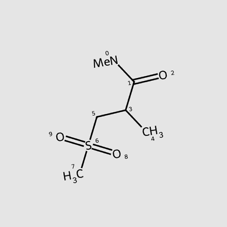 CNC(=O)C(C)CS(C)(=O)=O